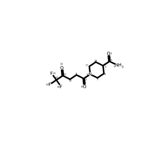 NC(=O)C1CCN(C(=O)CCC(=O)C(F)(F)F)CC1